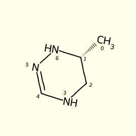 C[C@@H]1CNC=NN1